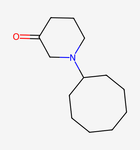 O=C1CCCN(C2CCCCCCC2)C1